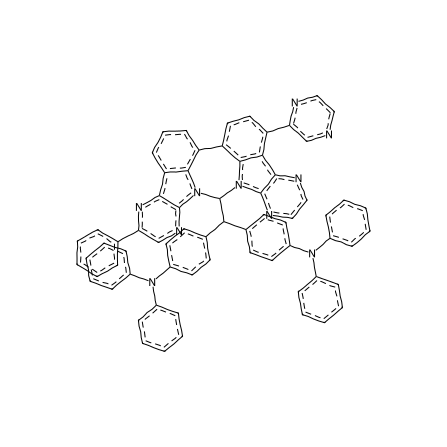 c1ccc(-c2cnc3c(n2)c2cccc4c2n3C(C(c2ccc(N(c3ccccc3)c3ccccc3)cc2)c2ccc(N(c3ccccc3)c3ccccc3)cc2)n2c3nccnc3c3c(-c5cnccn5)ccc-4c32)cc1